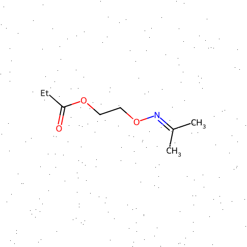 CCC(=O)OCCON=C(C)C